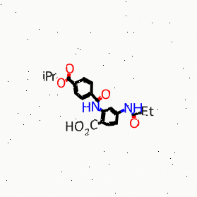 CCC(=O)Nc1ccc(C(=O)O)c(NC(=O)c2ccc(C(=O)OC(C)C)cc2)c1